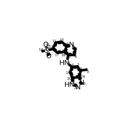 Cc1cc(Nc2ccnc3ccc(S(C)(=O)=O)cc23)cc2[nH]nnc12